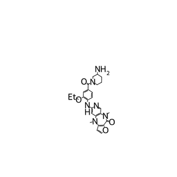 CCOc1cc(C(=O)N2CCCC(N)C2)ccc1Nc1cc2c(cn1)N(C)C(=O)c1occc1N2C